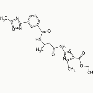 CCOC(=O)c1sc(NC(=O)CC(C)NC(=O)c2cccc(-c3noc(C)n3)c2)nc1C